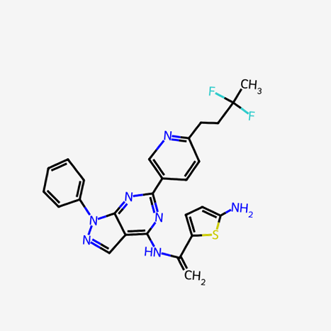 C=C(Nc1nc(-c2ccc(CCC(C)(F)F)nc2)nc2c1cnn2-c1ccccc1)c1ccc(N)s1